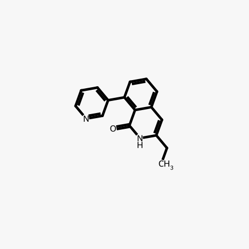 CCc1cc2cccc(-c3cccnc3)c2c(=O)[nH]1